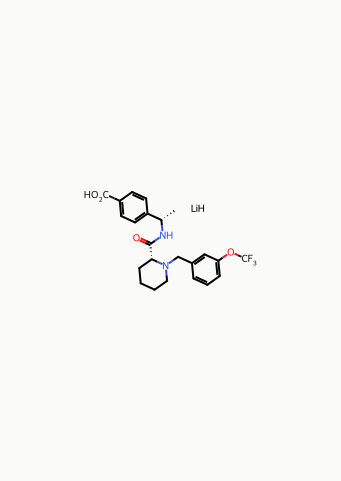 C[C@H](NC(=O)[C@H]1CCCCN1Cc1cccc(OC(F)(F)F)c1)c1ccc(C(=O)O)cc1.[LiH]